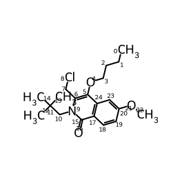 CCCCOc1c(CCl)n(CC(C)(C)C)c(=O)c2ccc(OC)cc12